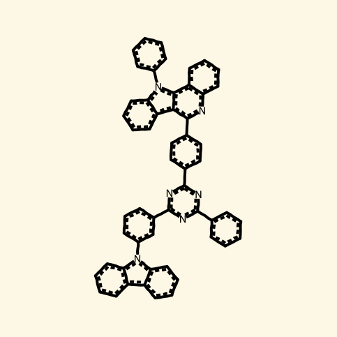 c1ccc(-c2nc(-c3ccc(-c4nc5ccccc5c5c4c4ccccc4n5-c4ccccc4)cc3)nc(-c3cccc(-n4c5ccccc5c5ccccc54)c3)n2)cc1